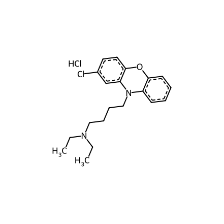 CCN(CC)CCCCN1c2ccccc2Oc2ccc(Cl)cc21.Cl